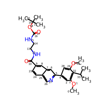 COc1cc(-c2cc3cc(C(=O)NCCNC(=O)OC(C)(C)C)ccc3cn2)cc(OC)c1C(C)C